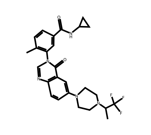 Cc1ccc(C(=O)NC2CC2)cc1-n1cnc2ccc(N3CCN(C(C)C(F)(F)F)CC3)cc2c1=O